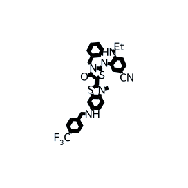 CCNc1ccc(C#N)cc1N=C1SC(=C2Sc3cc(NCc4ccc(C(F)(F)F)cc4)ccc3N2C)C(=O)N1Cc1ccccc1